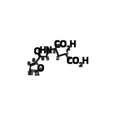 O=C(O)CCC(NCC(=O)c1ccco1)C(=O)O